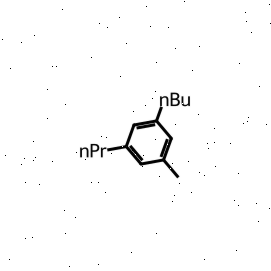 CCCCc1cc(C)cc(CCC)c1